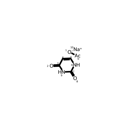 CC(=O)[O-].O=c1cc[nH]c(=O)[nH]1.[Na+]